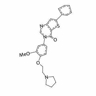 COc1cc(-n2cnc3cc(-c4ccccc4)sc3c2=O)ccc1OCCN1CCCC1